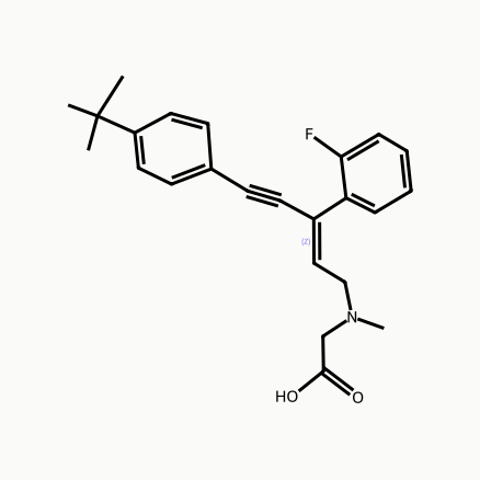 CN(C/C=C(/C#Cc1ccc(C(C)(C)C)cc1)c1ccccc1F)CC(=O)O